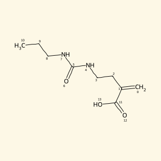 C=C(CCNC(=O)NCCC)C(=O)O